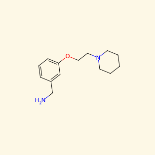 NCc1cccc(OCCN2CCCCC2)c1